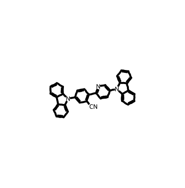 N#Cc1cc(-n2c3ccccc3c3ccccc32)ccc1-c1ccc(-n2c3ccccc3c3ccccc32)cn1